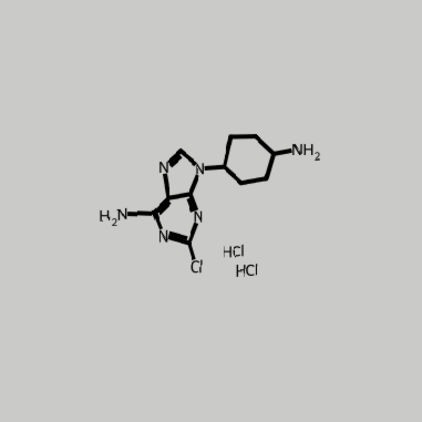 Cl.Cl.Nc1nc(Cl)nc2c1ncn2C1CCC(N)CC1